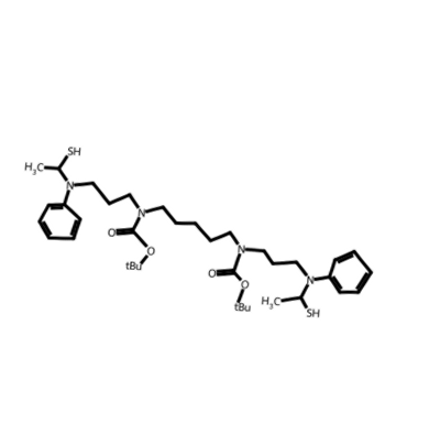 CC(S)N(CCCN(CCCCCN(CCCN(c1ccccc1)C(C)S)C(=O)OC(C)(C)C)C(=O)OC(C)(C)C)c1ccccc1